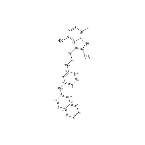 Cc1[nH]c2c(F)ccc(C)c2c1CCNc1cc(Nc2ccc3ccccc3n2)ncn1